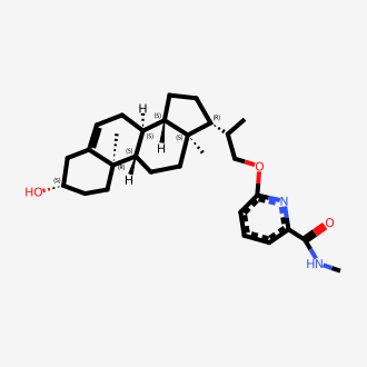 CNC(=O)c1cccc(OCC(C)[C@H]2CC[C@H]3[C@@H]4CC=C5C[C@@H](O)CC[C@]5(C)[C@H]4CC[C@]23C)n1